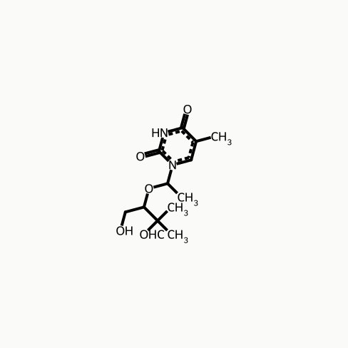 Cc1cn(C(C)OC(CO)C(C)(C)C=O)c(=O)[nH]c1=O